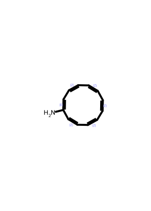 NC1=C/C=C\C=C/C=C\C=C/C=C\1